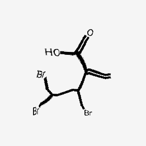 C=C(C(=O)O)C(Br)C(Br)Br